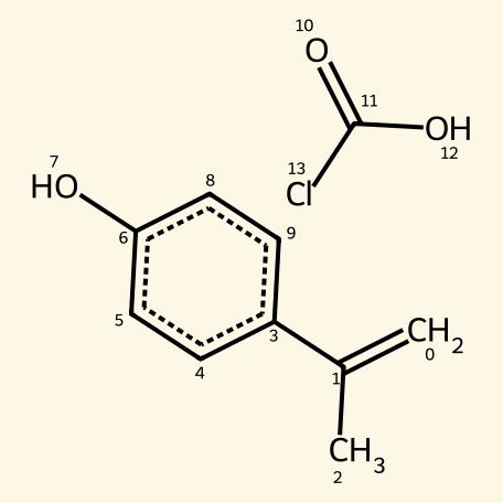 C=C(C)c1ccc(O)cc1.O=C(O)Cl